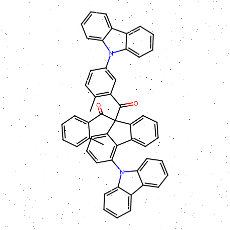 Cc1ccccc1C(=O)C1(C(=O)c2cc(-n3c4ccccc4c4ccccc43)ccc2C)c2ccccc2-c2c(-n3c4ccccc4c4ccccc43)cccc21